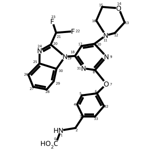 O=C(O)NCc1ccc(Oc2nc(N3CCOCC3)cc(-n3c(C(F)F)nc4ccccc43)n2)cc1